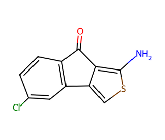 Nc1scc2c1C(=O)c1ccc(Cl)cc1-2